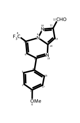 COc1ccc(-c2cc(C(F)(F)F)n3nc(C=O)cc3n2)cc1